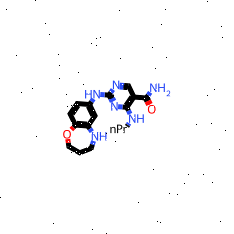 CCCNc1nc(Nc2ccc3c(c2)NCCCO3)ncc1C(N)=O